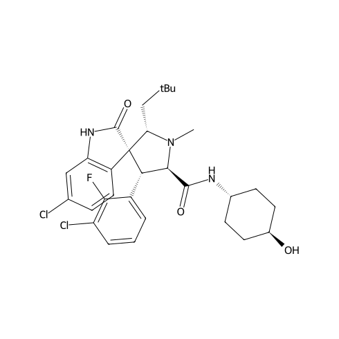 CN1[C@@H](CC(C)(C)C)[C@@]2(C(=O)Nc3cc(Cl)ccc32)[C@@H](c2cccc(Cl)c2F)[C@@H]1C(=O)N[C@H]1CC[C@H](O)CC1